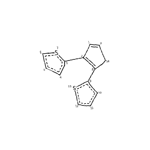 C1=CC(c2cccs2)=C(c2cccs2)C1